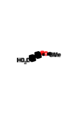 COCCOCOc1ccc(-c2ccc(C(=O)O)cc2)cc1